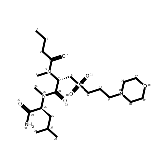 CCCC(=O)N(C)[C@H](CS(=O)(=O)CCCN1CCOCC1)C(=O)N(C)[C@@H](CC(C)C)C(N)=O